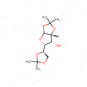 CC1(C)OC[C@H]([C@@H]2OC3OC(C)(C)O[C@@H]3[C@@H]2O)O1